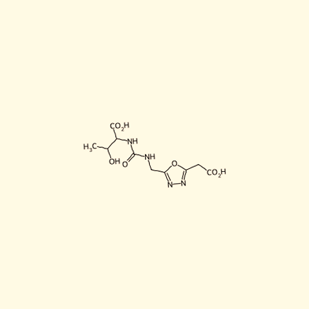 CC(O)C(NC(=O)NCc1nnc(CC(=O)O)o1)C(=O)O